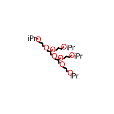 CC(C)OCCCOCC(COCC(COCCCOC(C)C)OCCCOC(C)C)OCCCOC(C)C